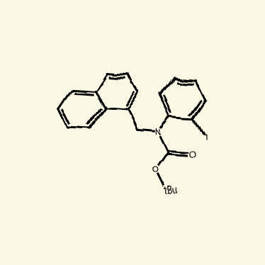 CC(C)(C)OC(=O)N(Cc1cccc2ccccc12)c1ccccc1I